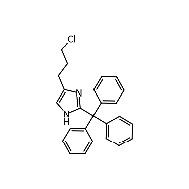 ClCCCc1c[nH]c(C(c2ccccc2)(c2ccccc2)c2ccccc2)n1